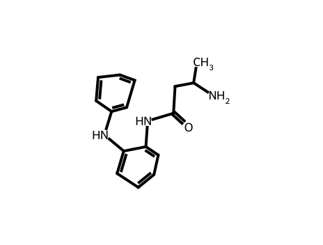 CC(N)CC(=O)Nc1ccccc1Nc1ccccc1